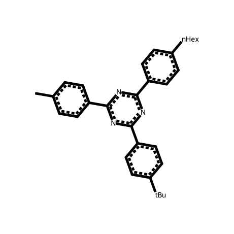 CCCCCCc1ccc(-c2nc(-c3ccc(C)cc3)nc(-c3ccc(C(C)(C)C)cc3)n2)cc1